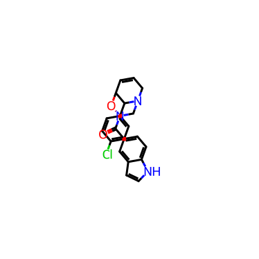 O=C(c1ccc2[nH]ccc2c1)N1CN2CC=CC(O1)C2c1ccc(Cl)cc1